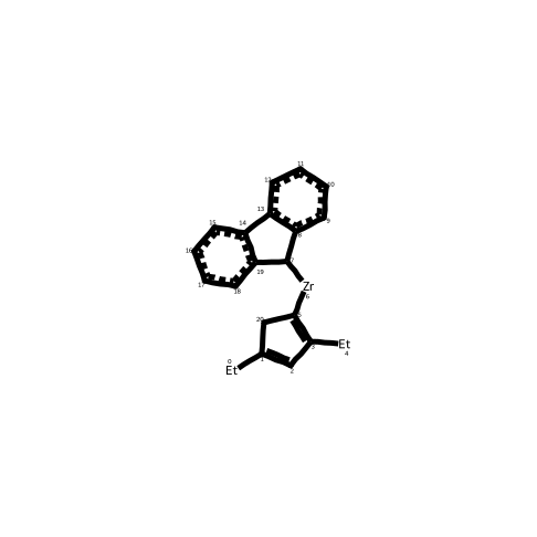 CCC1=CC(CC)=[C]([Zr][CH]2c3ccccc3-c3ccccc32)C1